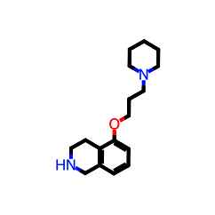 c1cc2c(c(OCCCN3CCCCC3)c1)CCNC2